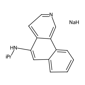 CC(C)Nc1cc2ccccc2c2cnccc12.[NaH]